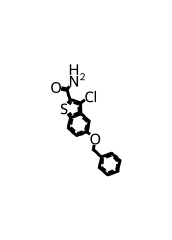 NC(=O)c1sc2ccc(OCc3ccccc3)cc2c1Cl